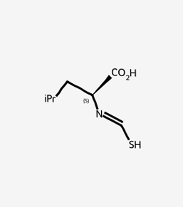 CC(C)C[C@H](N=CS)C(=O)O